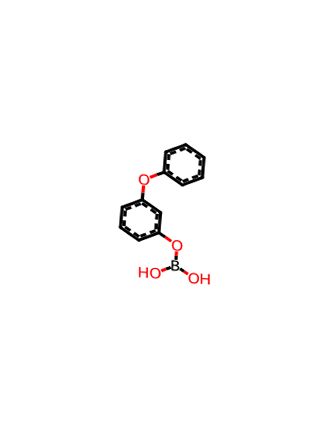 OB(O)Oc1cccc(Oc2ccccc2)c1